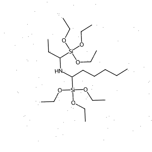 CCCCCC(NC(CC)[Si](OCC)(OCC)OCC)[Si](OCC)(OCC)OCC